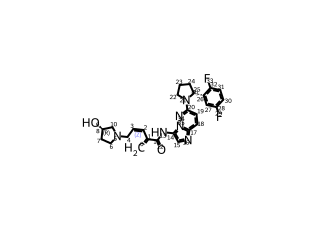 C=C(/C=C\CN1CC[C@@H](O)C1)C(=O)Nc1cnc2ccc(N3CCC[C@@H]3c3cc(F)ccc3F)nn12